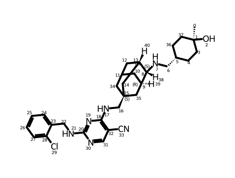 C[C@]1(O)CC[C@H](CN[C@@H]2[C@@H]3CC4C[C@H]2C[C@@](CNc2nc(NCc5ccccc5Cl)ncc2C#N)(C4)C3)CC1